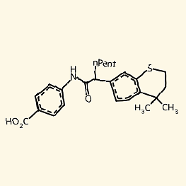 CCCCCC(C(=O)Nc1ccc(C(=O)O)cc1)c1ccc2c(c1)SCCC2(C)C